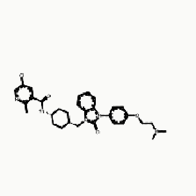 Cc1ncc(Cl)cc1C(=O)N[C@H]1CC[C@H](Cn2c(=O)n(-c3ccc(OCCN(C)C)cc3)c3ccccc32)CC1